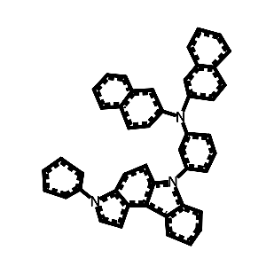 c1ccc(-n2ccc3c4c5ccccc5n(-c5cccc(N(c6ccc7ccccc7c6)c6ccc7ccccc7c6)c5)c4ccc32)cc1